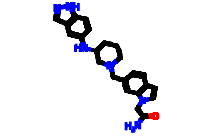 NC(=O)Cn1ccc2ccc(CN3CCC[C@H](Nc4ccc5[nH]ncc5c4)C3)cc21